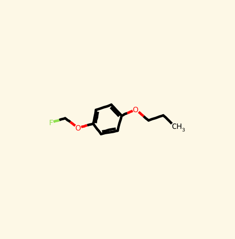 CCCOc1ccc(OCF)cc1